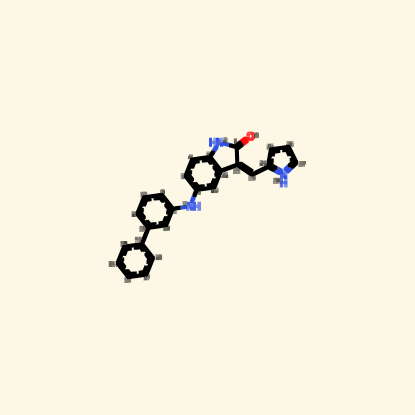 O=C1Nc2ccc(Nc3cccc(-c4c[c]ccc4)c3)cc2C1=Cc1ccc[nH]1